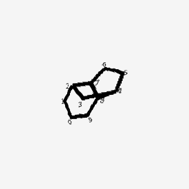 C1CC2CC3CCC2C3C1